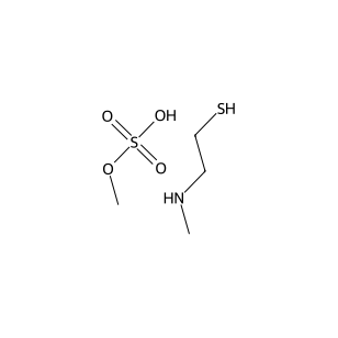 CNCCS.COS(=O)(=O)O